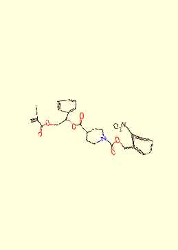 C=C(C)C(=O)OCC(OC(=O)C1CCN(C(=O)OCc2ccccc2[N+](=O)[O-])CC1)c1ccccc1